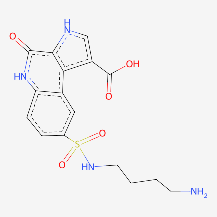 NCCCCNS(=O)(=O)c1ccc2[nH]c(=O)c3[nH]cc(C(=O)O)c3c2c1